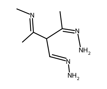 C/N=C(\C)C(/C=N/N)/C(C)=N\N